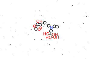 C=C(O)/C(=C(O)\C(O)=C(\C)O)c1ccc(N(c2ccc(-c3cccc(-c4cc5c6c(c4)c(O)cc4oc7cccc(c7c46)OO5)c3)cc2)c2ccc3c(c2)CCC=C3)cc1